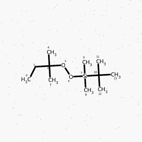 CCC(C)(C)OO[Si](C)(C)C(C)(C)C